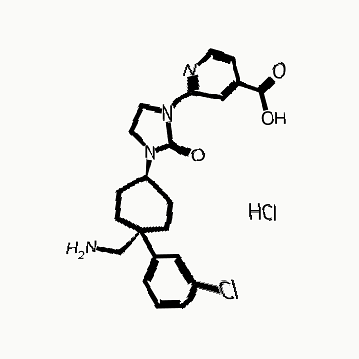 Cl.NC[C@]1(c2cccc(Cl)c2)CC[C@H](N2CCN(c3cc(C(=O)O)ccn3)C2=O)CC1